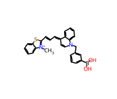 C[n+]1c(/C=C/C=C2\C=CN(Cc3cccc(B(O)O)c3)c3ccccc32)sc2ccccc21